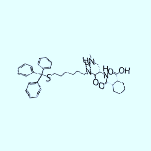 CNC[C@H](NC(=O)[C@H]1CCCC[C@H]1C(=O)O)C(=O)NCCCCCCSC(c1ccccc1)(c1ccccc1)c1ccccc1